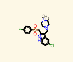 CN1CCN(Cc2c(CS(=O)(=O)c3ccc(F)cc3)[nH]c3ccc(Cl)cc23)CC1